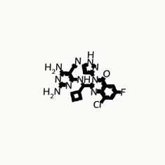 N#Cc1c(N)nc(N)nc1NC(c1nc2c(Cl)cc(F)cc2c(=O)n1-c1cc[nH]n1)C1CCC1